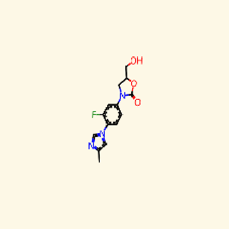 Cc1cn(-c2ccc(N3CC(CO)OC3=O)cc2F)cn1